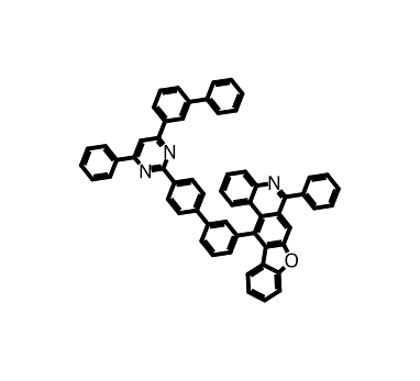 c1ccc(-c2cccc(-c3cc(-c4ccccc4)nc(-c4ccc(-c5cccc(-c6c7c(cc8c(-c9ccccc9)nc9ccccc9c68)oc6ccccc67)c5)cc4)n3)c2)cc1